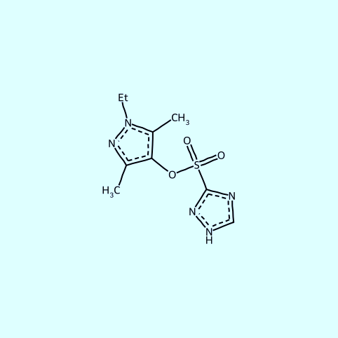 CCn1nc(C)c(OS(=O)(=O)c2nc[nH]n2)c1C